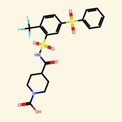 O=C(NS(=O)(=O)c1cc(S(=O)(=O)c2ccccc2)ccc1C(F)(F)F)C1CCN(C(=O)O)CC1